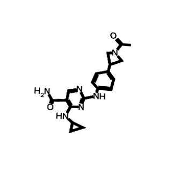 CC(=O)N1CC(c2ccc(Nc3ncc(C(N)=O)c(NC4CC4)n3)cc2)C1